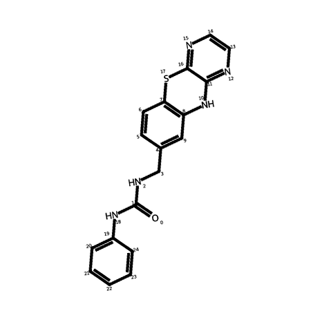 O=C(NCc1ccc2c(c1)Nc1nccnc1S2)Nc1ccccc1